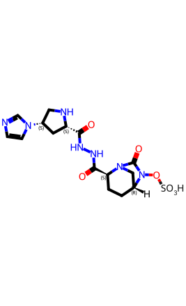 O=C(NNC(=O)[C@@H]1CC[C@@H]2CN1C(=O)N2OS(=O)(=O)O)[C@@H]1C[C@H](n2ccnc2)CN1